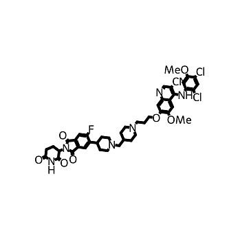 COc1cc(Nc2c(C#N)cnc3cc(OCCCN4CCC(CN5CCC(c6cc7c(cc6F)C(=O)N(C6CCC(=O)NC6=O)C7=O)CC5)CC4)c(OC)cc23)c(Cl)cc1Cl